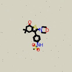 CC1(C)CC(=O)c2sc(N3CCOCC3)c(-c3ccc(NS(C)(=O)=O)cc3)c2C1